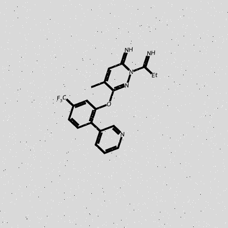 CCC(=N)n1nc(Oc2cc(C(F)(F)F)ccc2-c2cccnc2)c(C)cc1=N